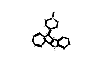 CN1CCC(=C2C3=C(C=CCC=C3)c3sc4c(c32)=CCCC=4)CC1